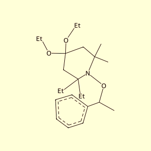 CCOC1(OCC)CC(C)(C)N(OC(C)c2ccccc2)C(CC)(CC)C1